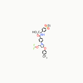 CCS(=O)(=O)c1ccc([C@@H](NC(=O)c2ccc(N3C[C@@H](Oc4ccc(C(F)(F)F)cc4)C[C@H]3COC(F)F)cc2)C(=O)O)cc1